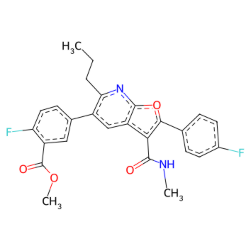 CCCc1nc2oc(-c3ccc(F)cc3)c(C(=O)NC)c2cc1-c1ccc(F)c(C(=O)OC)c1